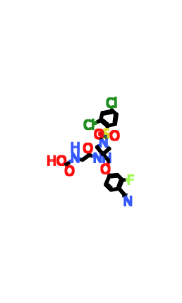 N#Cc1ccc(OCC2(NC(=O)CNC(=O)O)CN(S(=O)(=O)c3ccc(Cl)cc3Cl)C2)cc1F